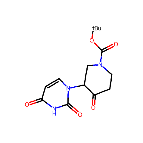 CC(C)(C)OC(=O)N1CCC(=O)C(n2ccc(=O)[nH]c2=O)C1